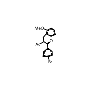 COc1ccccc1CC(C(C)=O)C(=O)c1ccc(Br)cc1